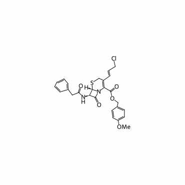 COc1ccc(COC(=O)C2=C(/C=C/CCl)CS[C@H]3[C@H](NC(=O)Cc4ccccc4)C(=O)N23)cc1